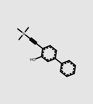 C[Si](C)(C)C#Cc1ccc(-c2ccccc2)cc1O